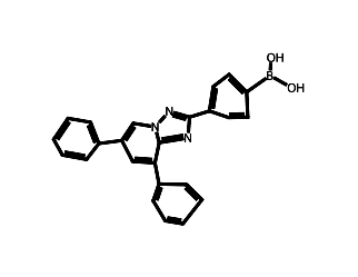 OB(O)c1ccc(-c2nc3c(-c4ccccc4)cc(-c4ccccc4)cn3n2)cc1